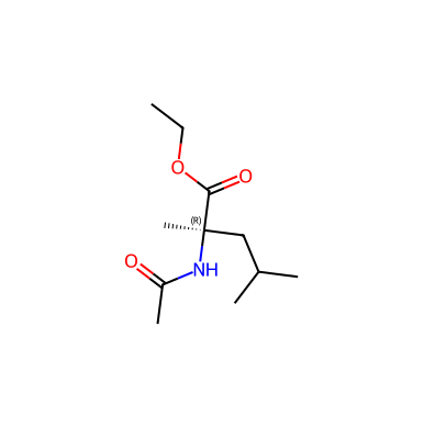 CCOC(=O)[C@@](C)(CC(C)C)NC(C)=O